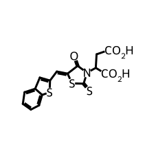 O=C(O)CC(C(=O)O)N1C(=O)C(=Cc2cc3ccccc3s2)SC1=S